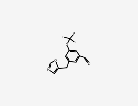 O=Cc1cc(Cc2cnco2)cc(OC(F)(F)F)c1